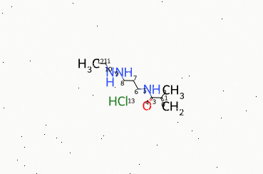 C=C(C)C(=O)NCCCNNCC.Cl